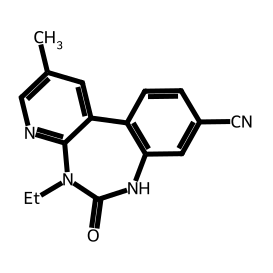 CCN1C(=O)Nc2cc(C#N)ccc2-c2cc(C)cnc21